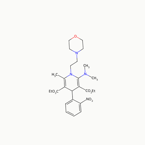 CCOC(=O)C1=C(C)N(CCN2CCOCC2)C(N(C)C)=C(C(=O)OCC)C1c1ccccc1[N+](=O)[O-]